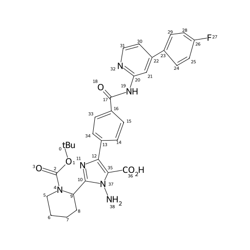 CC(C)(C)OC(=O)N1CCCCC1c1nc(-c2ccc(C(=O)Nc3cc(-c4ccc(F)cc4)ccn3)cc2)c(C(=O)O)n1N